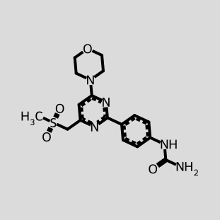 CS(=O)(=O)Cc1cc(N2CCOCC2)nc(-c2ccc(NC(N)=O)cc2)n1